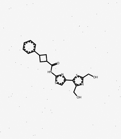 O=C(Nc1nc(-c2sc(CO)nc2CO)cs1)C1CC(c2ccccc2)C1